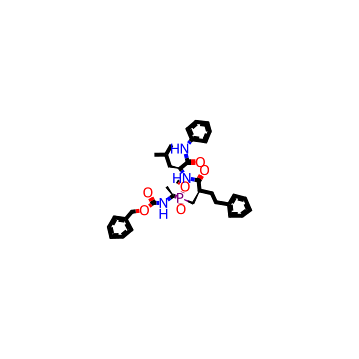 CO[P@@](=O)(C[C@H](CCc1ccccc1)C(=O)N[C@@H](CC(C)C)C(=O)Nc1ccccc1)[C@H](C)NC(=O)OCc1ccccc1